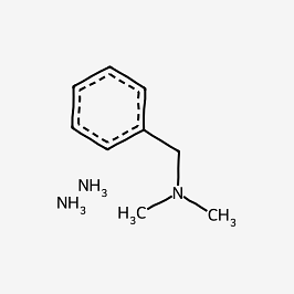 CN(C)Cc1ccccc1.N.N